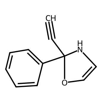 C#CC1(c2ccccc2)NC=CO1